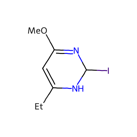 CCC1=CC(OC)=NC(I)N1